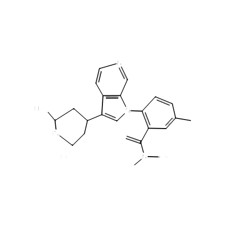 CC1CC(c2cn(-c3ccc(F)cc3C(=O)N(C)C(C)C)c3cnccc23)C[C@H](C)N1